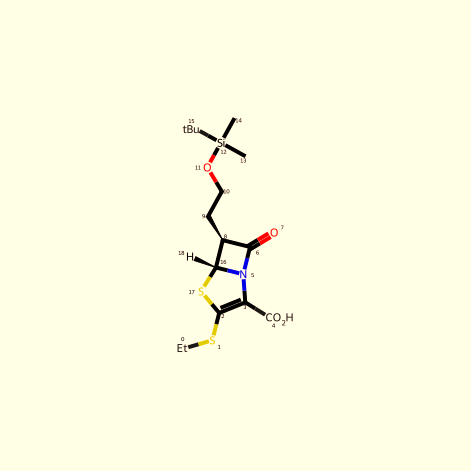 CCSC1=C(C(=O)O)N2C(=O)[C@H](CCO[Si](C)(C)C(C)(C)C)[C@H]2S1